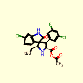 CC(C)(C)C[C@@H]1N[C@@H](C(=O)OC(=O)C(F)(F)F)[C@H](c2cc(F)cc(Cl)c2)C12C(=O)Nc1cc(Cl)ccc12